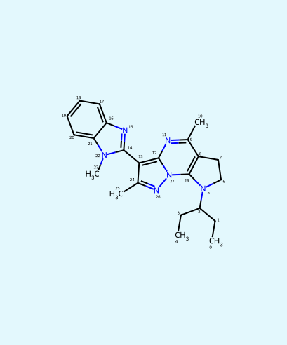 CCC(CC)N1CCc2c(C)nc3c(-c4nc5ccccc5n4C)c(C)nn3c21